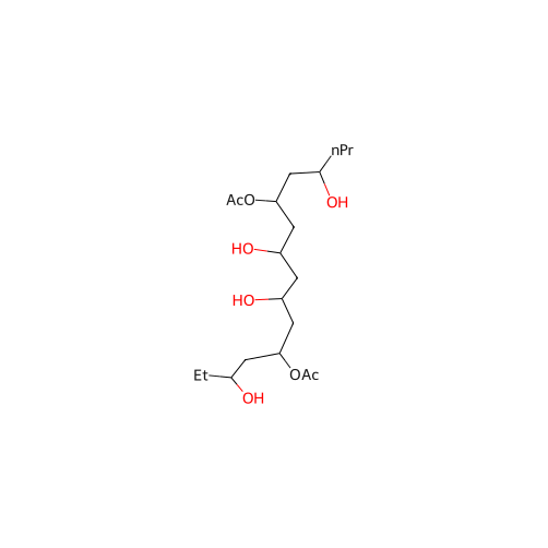 CCCC(O)CC(CC(O)CC(O)CC(CC(O)CC)OC(C)=O)OC(C)=O